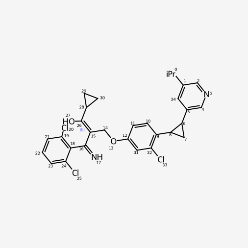 CC(C)c1cncc(C2CC2c2ccc(OC/C(C(=N)c3c(Cl)cccc3Cl)=C(/O)C3CC3)cc2Cl)c1